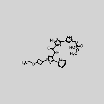 CCO[C@H]1C[C@@H](n2cc(NC(=O)c3csc(-c4cnn(OP(=O)(O)OC)c4)n3)c(-c3ccccn3)n2)C1.N